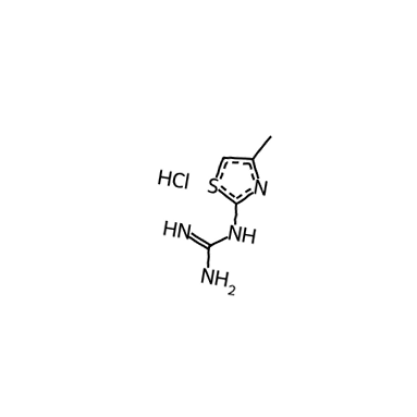 Cc1csc(NC(=N)N)n1.Cl